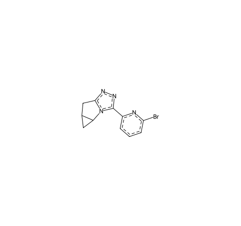 Brc1cccc(-c2nnc3n2C2CC2C3)n1